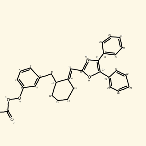 CC(=O)OOc1cccc(CC2CCCCC2=Cc2nc(-c3ccccc3)c(-c3ccccc3)o2)c1